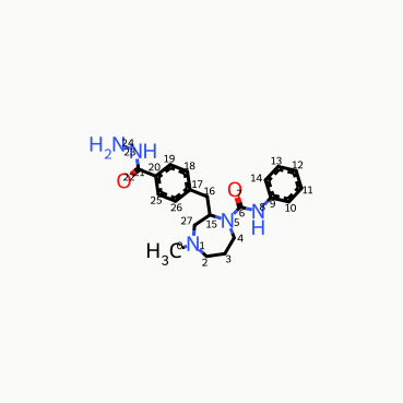 CN1CCCN(C(=O)Nc2ccccc2)C(Cc2ccc(C(=O)NN)cc2)C1